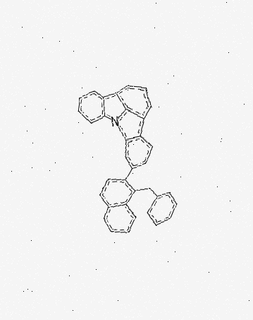 c1ccc(Cc2c(-c3ccc4c5cccc6c7ccccc7n(c4c3)c65)ccc3ccccc23)cc1